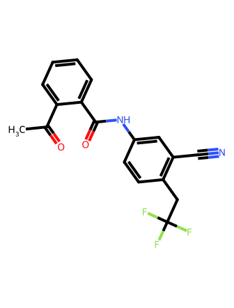 CC(=O)c1ccccc1C(=O)Nc1ccc(CC(F)(F)F)c(C#N)c1